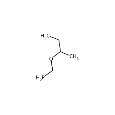 CCC(C)OCP